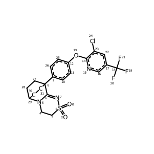 O=S1(=O)CCN2C(=N1)C1(c3ccc(Oc4ncc(C(F)(F)F)cc4Cl)cc3)CCC2CC1